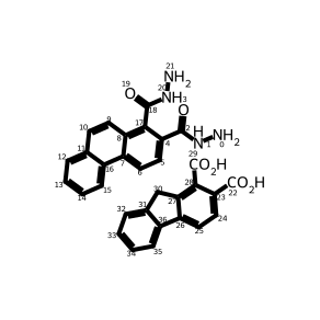 NNC(=O)c1ccc2c(ccc3ccccc32)c1C(=O)NN.O=C(O)c1ccc2c(c1C(=O)O)Cc1ccccc1-2